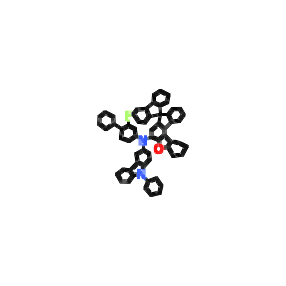 Fc1cc(N(c2ccc3c(c2)c2ccccc2n3-c2ccccc2)c2cc3c(c4c2oc2ccccc24)-c2ccccc2C32c3ccccc3-c3ccccc32)ccc1-c1ccccc1